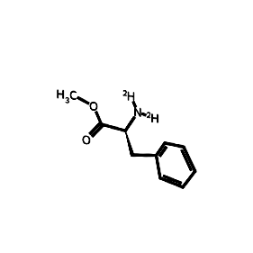 [2H]N([2H])[C@@H](Cc1ccccc1)C(=O)OC